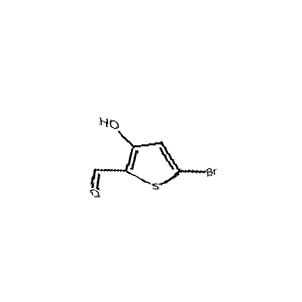 O=Cc1sc(Br)cc1O